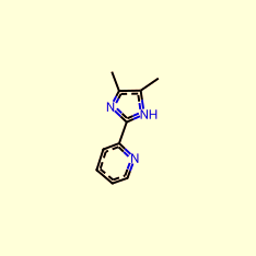 Cc1nc(-c2ccccn2)[nH]c1C